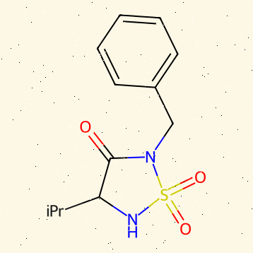 CC(C)C1NS(=O)(=O)N(Cc2ccccc2)C1=O